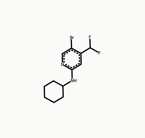 FC(F)c1cc(NC2CCCCC2)ncc1Br